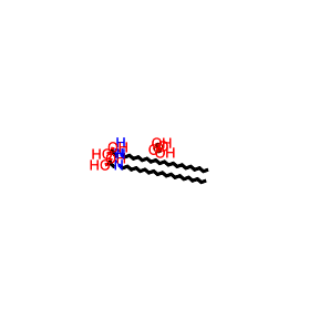 CCCCCCCCCCCCCCCCCCCCNCC(O)O.CCCCCCCCCCCCCCCCCCCCNCC(O)O.O=S(=O)(O)O